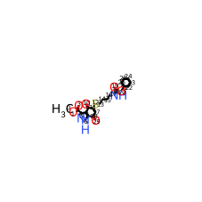 COC(=O)c1n[nH]c2c1C(=O)C(SCCCCNC(=O)Oc1ccccc1)=CC2=O